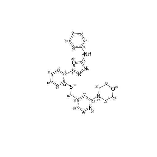 c1ccc(Nc2nnc(-c3ccccc3SCc3ccnc(N4CCOCC4)c3)o2)cc1